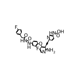 Nc1nccc(Oc2ccc(NC(=O)NC(=O)Cc3ccc(F)cc3)cc2F)c1C#Cc1ccc(NC(=O)O)cn1